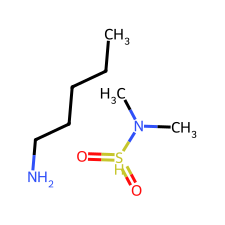 CCCCCN.CN(C)[SH](=O)=O